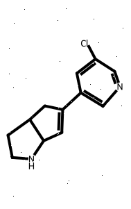 Clc1cncc(C2=CC3NCCC3C2)c1